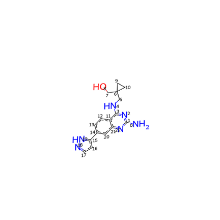 Nc1nc(NCC2(CO)CC2)c2ccc(-c3ccn[nH]3)cc2n1